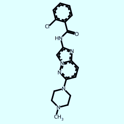 CN1CCN(c2ccc3nc(NC(=O)c4ccccc4Cl)cn3n2)CC1